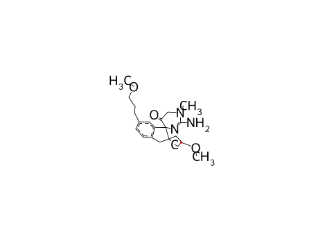 COCCCc1ccc2c(c1)C1(N=C(N)N(C)CC1=O)C1(CCC(OC)CC1)C2